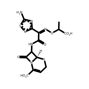 CC(O/N=C(\C(=O)NC1C(=O)N2C(C(=O)O)=CCS[C@H]12)c1nsc(N)n1)C(=O)O